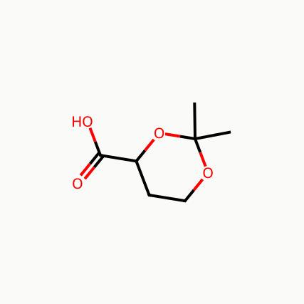 CC1(C)OCCC(C(=O)O)O1